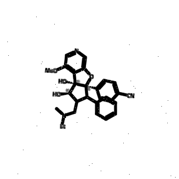 CCN(C)CC1C(c2ccccc2)[C@]2(c3ccc(C#N)cc3)Oc3cncc(OC)c3[C@]2(O)[C@@H]1O